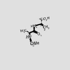 CON[C@@H](C)C(=O)N[C@@H](C)C(=O)O